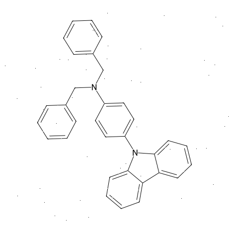 c1ccc(CN(Cc2ccccc2)c2ccc(-n3c4ccccc4c4ccccc43)cc2)cc1